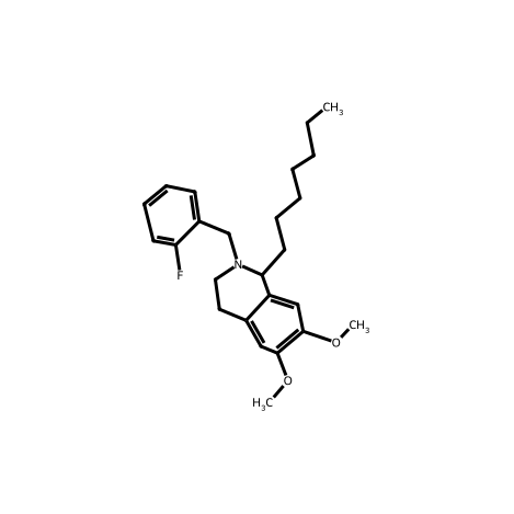 CCCCCCCC1c2cc(OC)c(OC)cc2CCN1Cc1ccccc1F